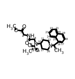 COC(=O)CNC(=O)CN(C1CCN(C(C)c2cccc3ccccc23)CC1)S(C)(=O)=O